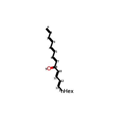 C=CC=CC=CC=CC(=O)C=CC=CCCCCCC